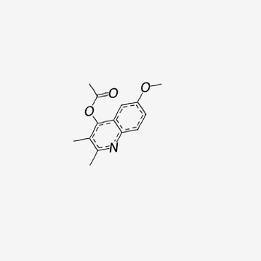 COc1ccc2nc(C)c(C)c(OC(C)=O)c2c1